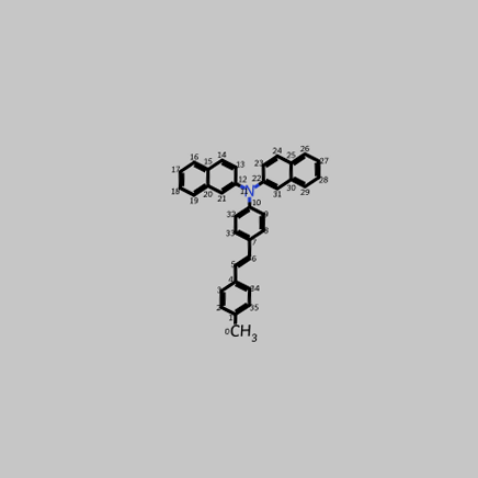 Cc1ccc(/C=C/c2ccc(N(c3ccc4ccccc4c3)c3ccc4ccccc4c3)cc2)cc1